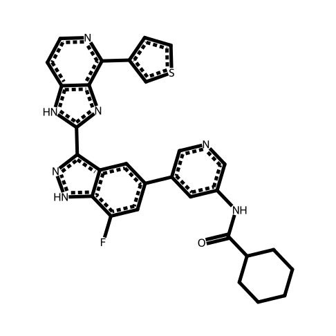 O=C(Nc1cncc(-c2cc(F)c3[nH]nc(-c4nc5c(-c6ccsc6)nccc5[nH]4)c3c2)c1)C1CCCCC1